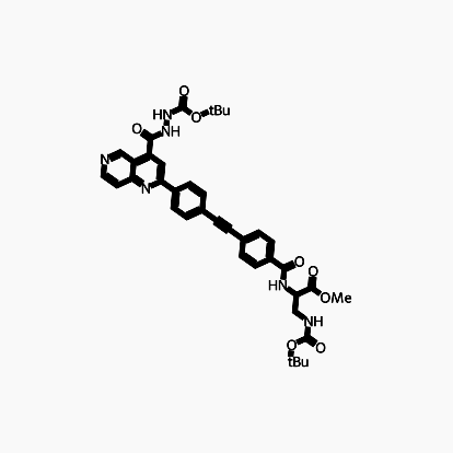 COC(=O)C(CNC(=O)OC(C)(C)C)NC(=O)c1ccc(C#Cc2ccc(-c3cc(C(=O)NNC(=O)OC(C)(C)C)c4cnccc4n3)cc2)cc1